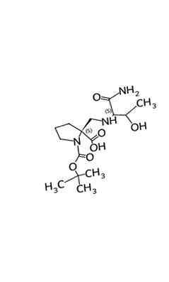 CC(O)[C@H](NC[C@]1(C(=O)O)CCCN1C(=O)OC(C)(C)C)C(N)=O